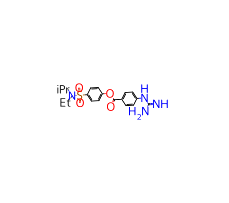 CCN(C(C)C)S(=O)(=O)c1ccc(OC(=O)c2ccc(NC(=N)N)cc2)cc1